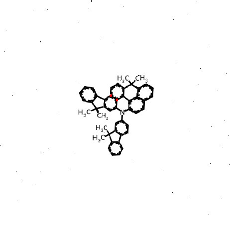 CC1(C)c2ccccc2-c2ccc(N(c3ccc4c(c3)C(C)(C)c3ccccc3-4)c3ccc4cccc5c4c3-c3ccccc3C5(C)C)cc21